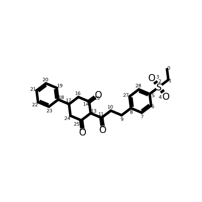 CCS(=O)(=O)c1ccc(CCC(=O)C2C(=O)CC(c3ccccc3)CC2=O)cc1